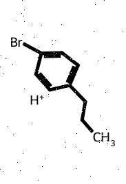 CCCc1ccc(Br)cc1.[H+]